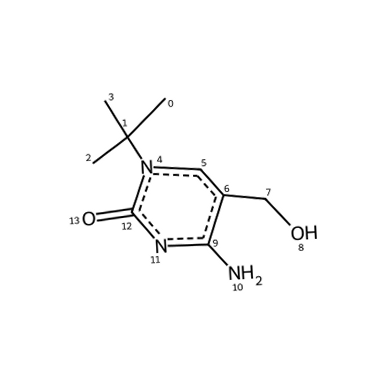 CC(C)(C)n1cc(CO)c(N)nc1=O